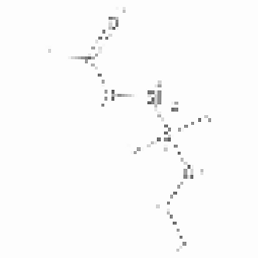 CCO[Si](C)(C)[SiH2]OC(C)=O